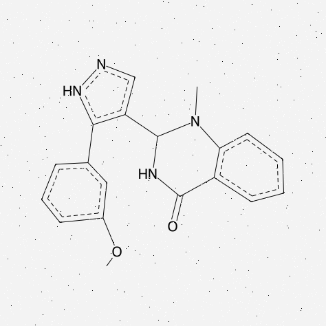 COc1cccc(-c2[nH]ncc2C2NC(=O)c3ccccc3N2C)c1